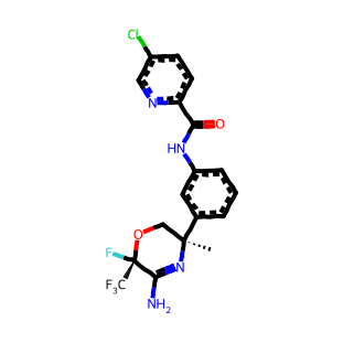 C[C@@]1(c2cccc(NC(=O)c3ccc(Cl)cn3)c2)CO[C@](F)(C(F)(F)F)C(N)=N1